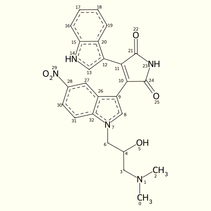 CN(C)CC(O)Cn1cc(C2=C(c3c[nH]c4ccccc34)C(=O)NC2=O)c2cc([N+](=O)[O-])ccc21